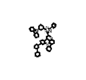 c1ccc(-c2cccc(-c3ccc(-c4cncc(-c5nc(-c6ccccc6)nc(-c6cccc(-n7c8ccccc8c8ccccc87)c6)n5)c4)c(-n4c5ccccc5c5ccccc54)c3)c2)cc1